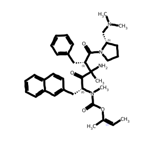 C/C=C(/C)OC(=O)N(C)[C@H](Cc1ccc2ccccc2c1)C(=O)C(C)(N)[C@H](Cc1ccccc1)C(=O)N1CCC[C@H]1CN(C)C